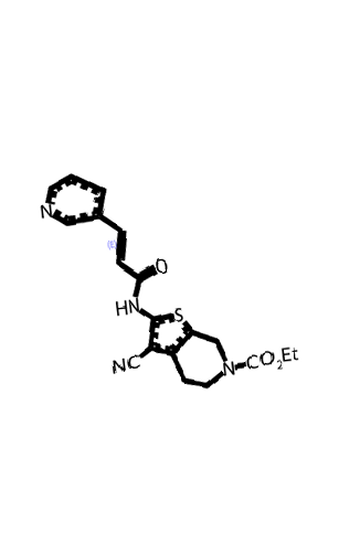 CCOC(=O)N1CCc2c(sc(NC(=O)/C=C/c3cccnc3)c2C#N)C1